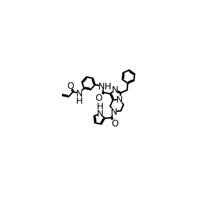 C=CC(=O)Nc1cccc(NC(=O)c2nc(Cc3ccccc3)n3c2CN(C(=O)c2ccc[nH]2)CC3)c1